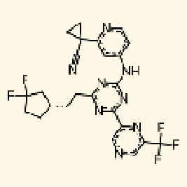 N#CC1(c2cc(Nc3nc(CC[C@@H]4CCC(F)(F)C4)nc(-c4cncc(C(F)(F)F)n4)n3)ccn2)CC1